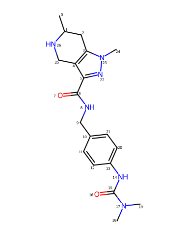 CC1Cc2c(c(C(=O)NCc3ccc(NC(=O)N(C)C)cc3)nn2C)CN1